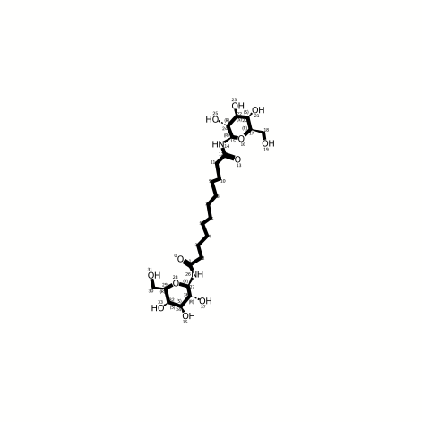 O=C(CCCCCCCCCCC(=O)N[C@@H]1O[C@H](CO)[C@@H](O)[C@H](O)[C@H]1O)N[C@@H]1O[C@H](CO)[C@@H](O)[C@H](O)[C@H]1O